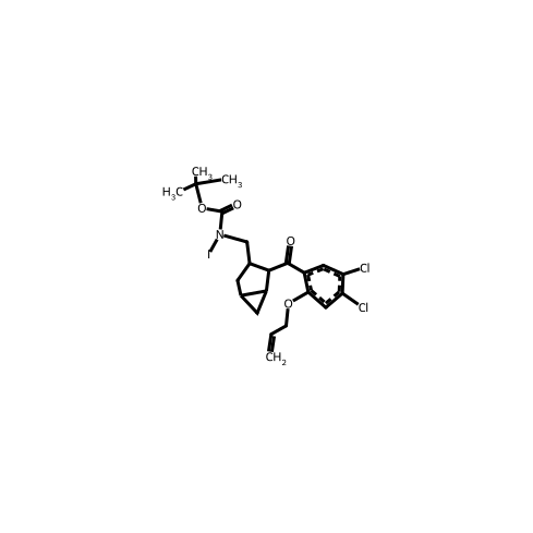 C=CCOc1cc(Cl)c(Cl)cc1C(=O)C1C(CN(I)C(=O)OC(C)(C)C)CC2CC21